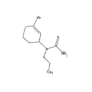 CC(C)C1=CC(N(CCO)C(N)=S)CCC1